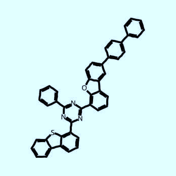 c1ccc(-c2ccc(-c3ccc4oc5c(-c6nc(-c7ccccc7)nc(-c7cccc8c7sc7ccccc78)n6)cccc5c4c3)cc2)cc1